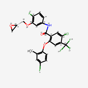 Cc1cc(F)ccc1Oc1cc(C(F)(F)F)c(Cl)cc1C(=O)Nc1ccc(F)c(OC[C@@H]2CO2)c1